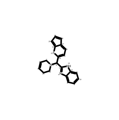 C1=CCN(C(c2nc3ccccc3[nH]2)c2ccc3cccc-3s2)CC1